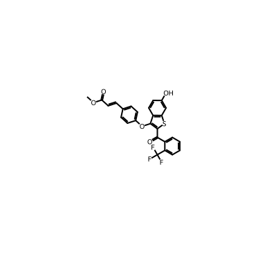 COC(=O)/C=C/c1ccc(Oc2c(C(=O)c3ccccc3C(F)(F)F)sc3cc(O)ccc23)cc1